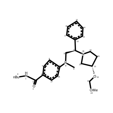 CCCCNC(=O)c1ccc(N(C)C[C@@H](c2ccccc2)N2CC[C@H](OCOC)C2)cc1